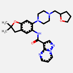 CC1(C)Cc2cc(NC(=O)c3cnn4cccnc34)c(N3CCN(CC4CCCO4)CC3)cc2O1